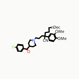 CCCCCCCCCCCCCC(C#N)(CCCN1CCC(C(=O)c2ccc(F)cc2)CC1)c1ccc(OC)c(OC)c1